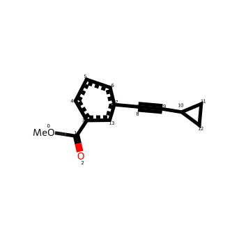 COC(=O)c1cccc(C#CC2CC2)c1